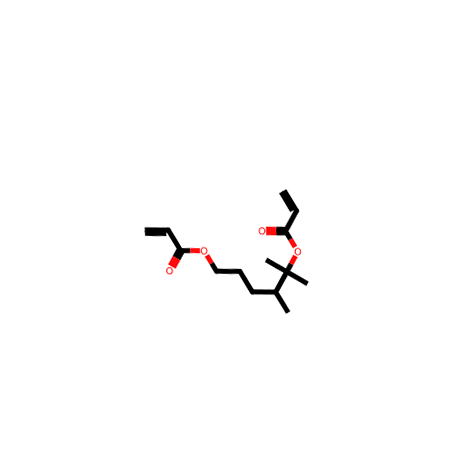 C=CC(=O)OCCCC(C)C(C)(C)OC(=O)C=C